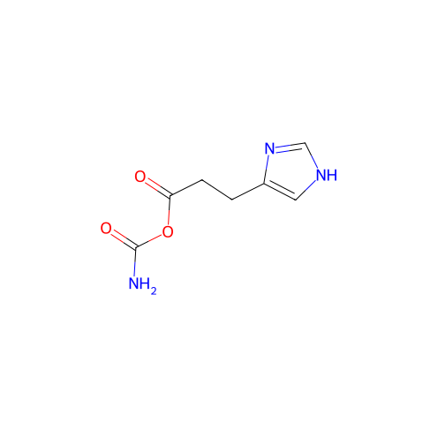 NC(=O)OC(=O)CCc1c[nH]cn1